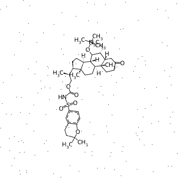 CC[C@H]1C(O[Si](C)(C)C)[C@@H]2[C@H](CC[C@]3(C)[C@@H]([C@H](C)COC(=O)NS(=O)(=O)c4ccc5c(c4)CCC(C)(C)O5)CC[C@@H]23)[C@@]2(C)CCC(=O)C[C@@H]12